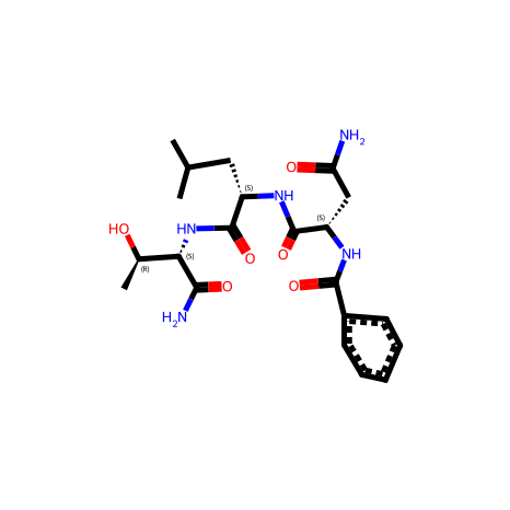 CC(C)C[C@H](NC(=O)[C@H](CC(N)=O)NC(=O)c1ccccc1)C(=O)N[C@H](C(N)=O)[C@@H](C)O